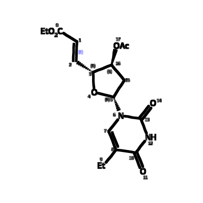 CCOC(=O)/C=C/[C@H]1O[C@@H](n2cc(CC)c(=O)[nH]c2=O)C[C@@H]1OC(C)=O